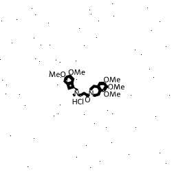 COc1cc2c(cc1OC)[C@@H](CN(C)CCC(=O)N1CCc3cc(OC)c(OC)c(OC)c3CC1)C2.Cl